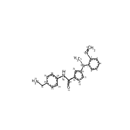 C=Nc1ccccc1N(C)c1csc(C(=O)Nc2ccc(CN)cc2)c1